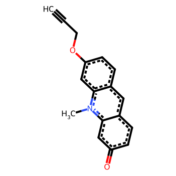 C#CCOc1ccc2cc3ccc(=O)cc-3n(C)c2c1